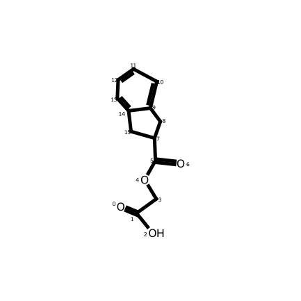 O=C(O)COC(=O)C1Cc2ccccc2C1